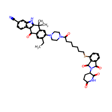 CCc1cc2c(cc1N1CCN(C(=O)CCCCCCSc3cccc4c3C(=O)N(C3CCC(=O)NC3=O)C4=O)CC1)C(C)(C)c1[nH]c3cc(C#N)ccc3c1C2=O